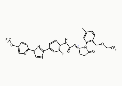 Cc1ccc(COCC(F)(F)F)c(N2C(=O)CS/C2=N\C(=O)Nc2ccc(-c3ncn(-c4ccc(OC(F)(F)F)cn4)n3)cc2F)c1